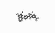 COc1cc2ncnc(N3CCC(n4c(=O)c5cc(C(=O)O)ccc5n(C)c4=O)CC3)c2cc1OC